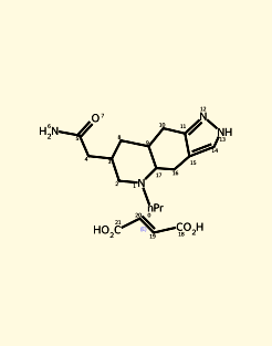 CCCN1CC(CC(N)=O)CC2Cc3n[nH]cc3CC21.O=C(O)/C=C/C(=O)O